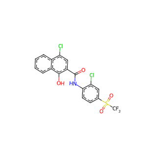 O=C(Nc1ccc(S(=O)(=O)C(F)(F)F)cc1Cl)c1cc(Cl)c2ccccc2c1O